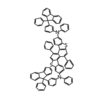 c1ccc(-c2cc3sc4cc(N(c5ccccc5)c5cccc(C6(c7ccccc7)c7ccccc7-c7ccccc76)c5)ccc4c3c3c(-c4ccccc4)cc4sc5cc(N(c6ccccc6)c6cccc(C7(c8ccccc8)c8ccccc8-c8ccccc87)c6)ccc5c4c23)cc1